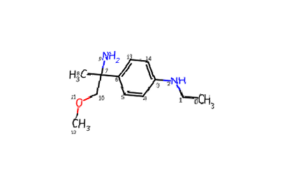 CCNc1ccc(C(C)(N)COC)cc1